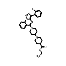 CCOC(=O)C1CCN(C2CCN(c3nc4c(-c5ccccc5F)nnn4c4ccccc34)CC2)CC1